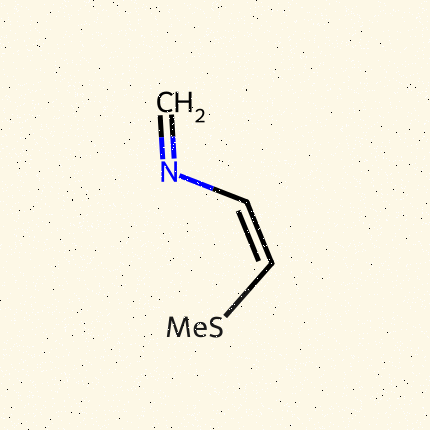 C=N/C=C\SC